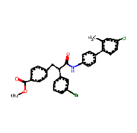 Cc1cc(Cl)ccc1-c1ccc(NC(=O)C(Cc2ccc(C(=O)OC(C)(C)C)cc2)c2cccc(Br)c2)cc1